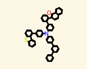 c1ccc(-c2cccc(-c3ccc(N(c4ccc(-c5cccc6sc7ccccc7c56)cc4)c4cccc(-c5cccc6oc7c8ccccc8ccc7c56)c4)cc3)c2)cc1